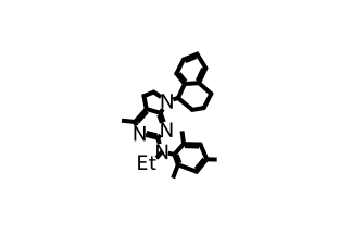 CCN(c1nc(C)c2c(n1)N(C1CCCc3ccccc31)CC2)c1c(C)cc(C)cc1C